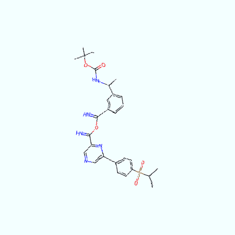 CC(NC(=O)OC(C)(C)C)c1cccc(C(=N)OC(=N)c2cncc(-c3ccc(S(=O)(=O)C(C)C)cc3)n2)c1